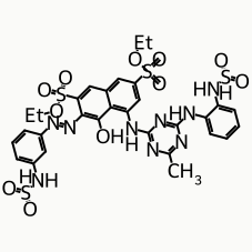 CCOS(=O)(=O)c1cc(Nc2nc(C)nc(Nc3ccccc3N[SH](=O)=O)n2)c2c(O)c(N=Nc3cccc(N[SH](=O)=O)c3)c(S(=O)(=O)OCC)cc2c1